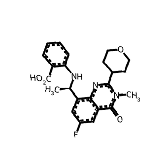 C[C@@H](Nc1ccccc1C(=O)O)c1cc(F)cc2c(=O)n(C)c(C3CCOCC3)nc12